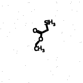 CCOC(=O)C[SiH3]